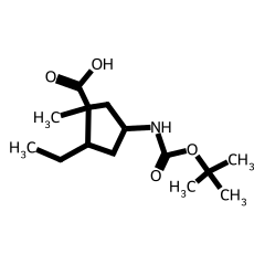 CCC1CC(NC(=O)OC(C)(C)C)CC1(C)C(=O)O